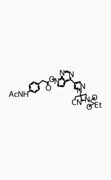 CCS(=O)(=O)N1CC(CC#N)(n2cc(-c3ncnc4c3ccn4OC(=O)Cc3ccc(NC(C)=O)cc3)cn2)C1